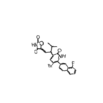 CC(C)C(/C=C1\OC(=O)NC1=O)c1cc(Br)c(-c2ccc3cccc(F)c3c2)[nH]c1=O